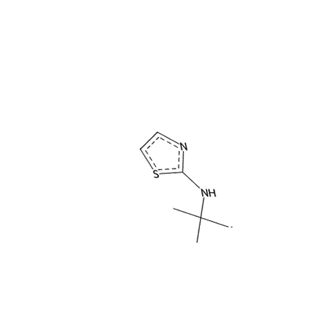 [CH2]C(C)(C)Nc1nccs1